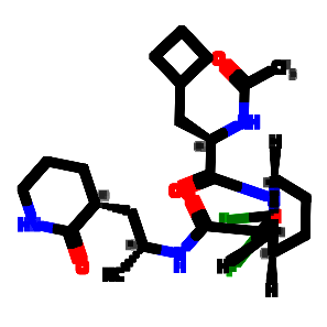 N#C[C@H](C[C@H]1CCCNC1=O)NC(=O)[C@H]1[C@H]2CC[C@H](CC2(F)F)N1C(=O)[C@@H](CC1CCC1)NC(=O)C(F)(F)F